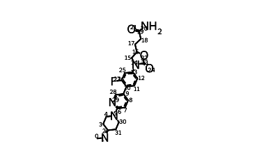 CN=C1CCN(c2ccc(-c3ccc(N4CC(CCC(N)=O)OC4=O)cc3F)cn2)CC1